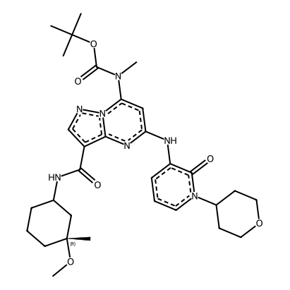 CO[C@]1(C)CCCC(NC(=O)c2cnn3c(N(C)C(=O)OC(C)(C)C)cc(Nc4cccn(C5CCOCC5)c4=O)nc23)C1